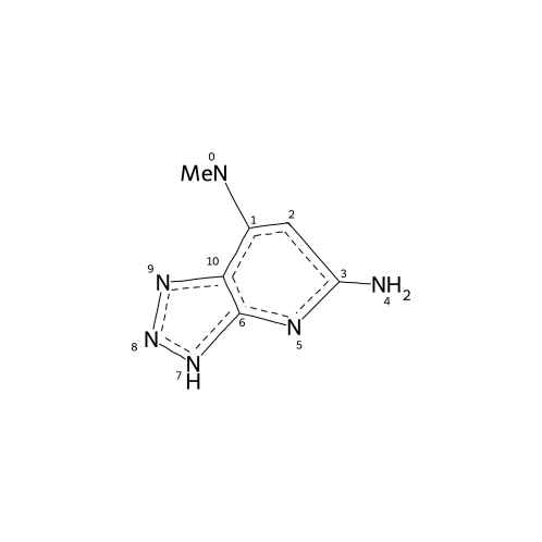 CNc1cc(N)nc2[nH]nnc12